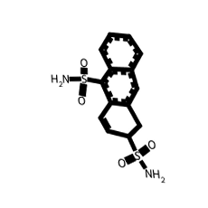 NS(=O)(=O)c1c2c(cc3ccccc13)CC(S(N)(=O)=O)C=C2